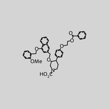 COc1ccccc1COc1cc(COC2CN(C(=O)O)CCC2c2ccc(OCCOC(=O)c3ccccc3)cc2)cc2ccccc12